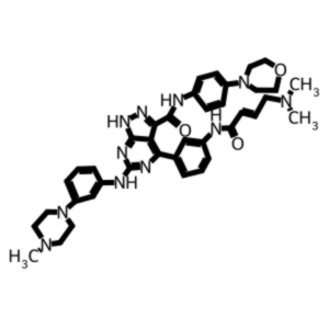 CN(C)C/C=C/C(=O)Nc1cccc(-c2nc(Nc3cccc(N4CCN(C)CC4)c3)nc3[nH]nc(C(=O)Nc4ccc(N5CCOCC5)cc4)c23)c1